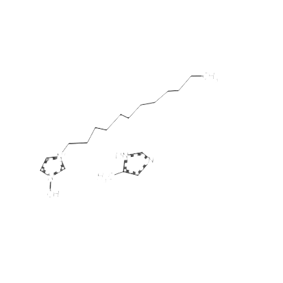 CCCCCCCCCCCC[n+]1ccn(C)c1.Cc1cnc[nH]1